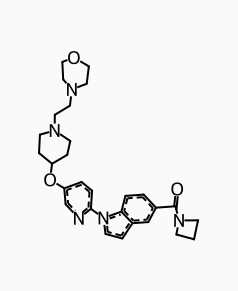 O=C(c1ccc2c(ccn2-c2ccc(OC3CCN(CCN4CCOCC4)CC3)cn2)c1)N1CCC1